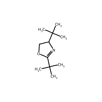 CC(C)(C)C1=NC(C(C)(C)C)CO1